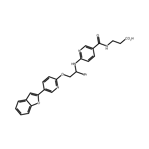 CC(C)C(COc1ccc(-c2cc3ccccc3o2)cn1)Nc1ccc(C(=O)NCCC(=O)O)cn1